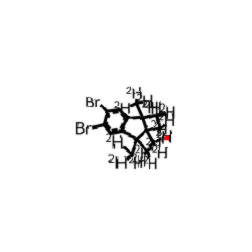 [2H]C([2H])([2H])C1(C([2H])([2H])[2H])c2cc(Br)c(Br)cc2C(C([2H])([2H])[2H])(C([2H])([2H])[2H])C1(C([2H])([2H])[2H])C([2H])([2H])[2H]